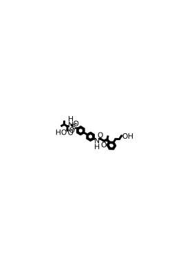 Cc1c(C(=O)Nc2ccc(-c3ccc(S(=O)(=O)NC(C(=O)O)C(C)C)cc3)cc2)oc2cccc(CCCO)c12